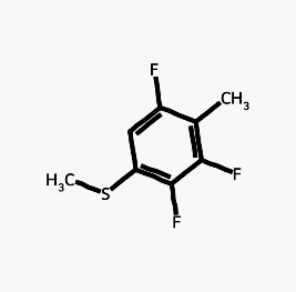 CSc1cc(F)c(C)c(F)c1F